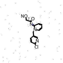 O=C(C[N+](=O)[O-])/N=c1\ccccn1Cc1ccc(Cl)nc1